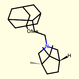 COC12CC3CC(C1)C(CCN1C[C@@H]4CC[C@@](C)(C1)C4(C)C)C(C3)C2